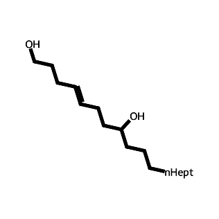 CCCCCCCCCCC(O)CCC=CCCCO